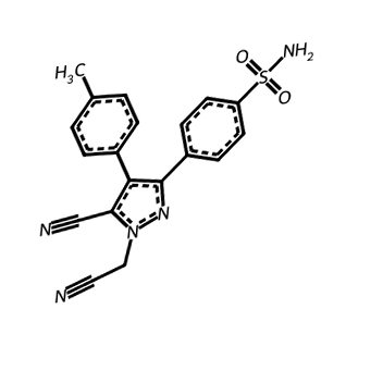 Cc1ccc(-c2c(-c3ccc(S(N)(=O)=O)cc3)nn(CC#N)c2C#N)cc1